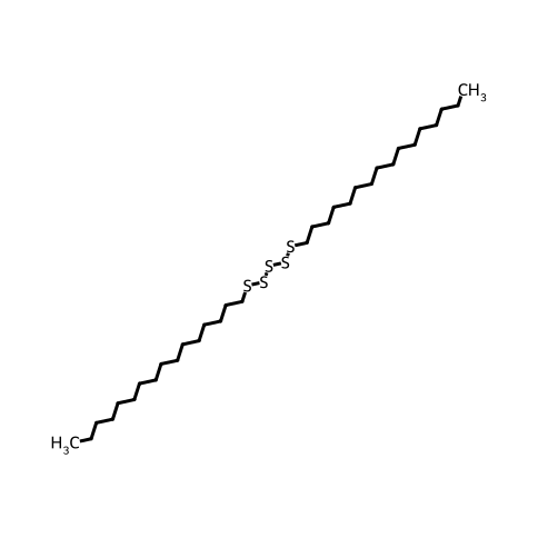 CCCCCCCCCCCCCCCCSSSSSCCCCCCCCCCCCCCCC